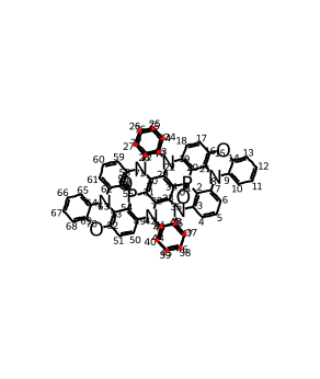 O=P12c3c4cccc3N3c5ccccc5Oc5ccc(c1c53)N(c1ccccc1)c1c3c5c(c(c12)N4c1ccccc1)N(c1ccccc1)c1ccc2c4c1P5(=O)c1c(cccc1N4c1ccccc1O2)N3c1ccccc1